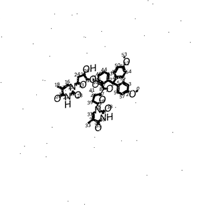 COc1ccc(C(OC(COOC2OC(n3cc(C)c(=O)[nH]c3=O)CC2O)[C@H]2O[C@@H](n3cc(C)c(=O)[nH]c3=O)C[C@@H]2C)(c2ccccc2)c2ccc(OC)cc2)cc1